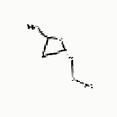 CC(=O)OC[C@@H]1CC(O)O1